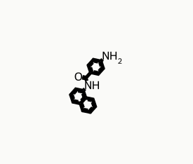 Nc1ccc(C(=O)Nc2cccc3ccccc23)cc1